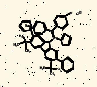 CC(C)(C)c1cc2c(cc1-c1ccccc1)[CH]([Zr+2]([C]1=CC=CC1)=[C](c1ccc(Br)cc1)c1ccc(Br)cc1)c1cc(-c3ccccc3)c(C(C)(C)C)cc1-2.[Cl-].[Cl-]